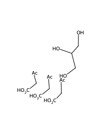 CC(=O)CC(=O)O.CC(=O)CC(=O)O.CC(=O)CC(=O)O.OCC(O)CO